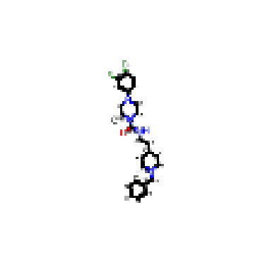 C[C@@H]1CN(c2ccc(F)c(F)c2)CCN1C(=O)NCCC1CCN(Cc2ccccc2)CC1